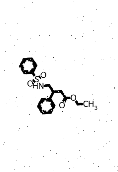 CCOC(=O)CC(CNS(=O)(=O)c1ccccc1)c1ccccc1